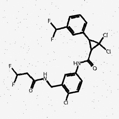 O=C(CC(F)F)NCc1cc(NC(=O)C2C(c3cccc(C(F)F)c3)C2(Cl)Cl)ccc1Cl